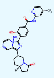 N[N+]12C=CN=CC1=C([C@@H]1CC[C@H]3CCC(=O)N3C1)N=C2c1ccc(C(=O)Nc2cc(C(F)(F)F)ccn2)cc1O